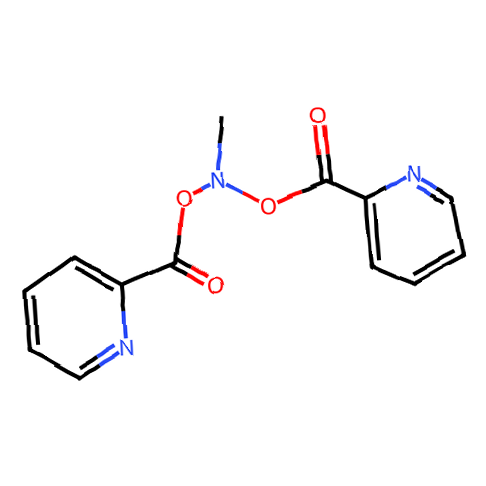 CN(OC(=O)c1ccccn1)OC(=O)c1ccccn1